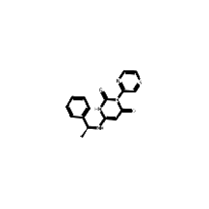 C[C@H](Nc1cc(=O)n(-c2cnccn2)c(=O)[nH]1)c1ccccc1